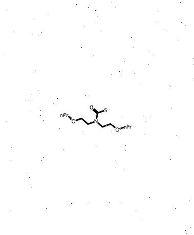 CCCOCCN(CCOCCC)C(=O)[S]